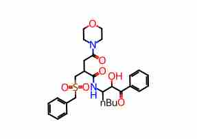 CCCCC(NC(=O)C(CC(=O)N1CCOCC1)CS(=O)(=O)Cc1ccccc1)C(O)C(=O)c1ccccc1